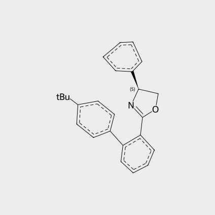 CC(C)(C)c1ccc(-c2ccccc2C2=N[C@@H](c3ccccc3)CO2)cc1